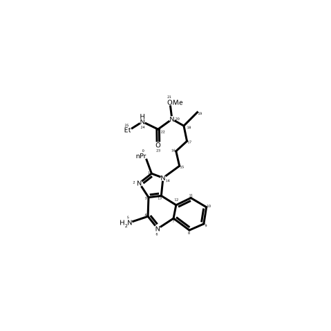 CCCc1nc2c(N)nc3ccccc3c2n1CCCC(C)N(OC)C(=O)NCC